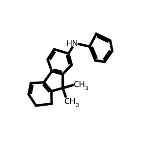 CC1(C)C2=C(C=CCC2)c2ccc(Nc3ccccc3)cc21